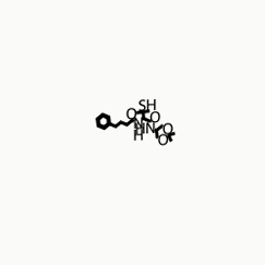 CC1(C)OCC(NC(=O)[C@@H](NC(=O)CCCc2ccccc2)C(C)(C)S)CO1